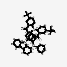 CC(C)(C)c1ccc2c(c1)c(=O)c1cc(-n3c4ccccc4c4cccc(N(c5ccccc5)c5ccccc5)c43)cc3c(=O)c4cc(C(C)(C)C)ccc4n2c13